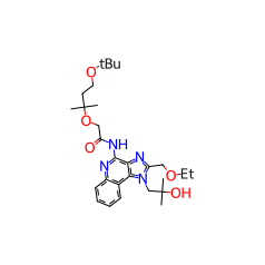 CCOCc1nc2c(NC(=O)COC(C)(C)CCOC(C)(C)C)nc3ccccc3c2n1CC(C)(C)O